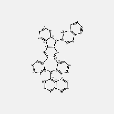 c1ccc2c(c#1)C=CC(n1c3ccccc3c3cc4c(cc31)-c1ccccc1N(C1=c3ccccc3=CCN1)c1ccccc1-4)N2